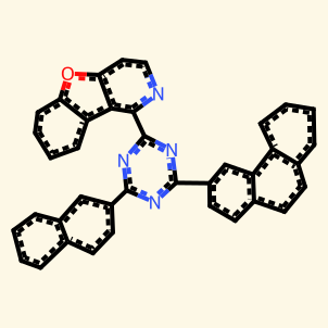 c1ccc2cc(-c3nc(-c4ccc5ccc6ccccc6c5c4)nc(-c4nccc5oc6ccccc6c45)n3)ccc2c1